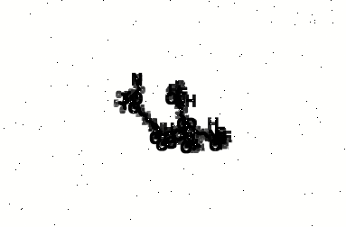 CC(C)N(C(C)C)P(OCCC#N)OCCCCCCNC(=O)c1cc2cc(P(=O)(OCCCCNC(=O)C(F)(F)F)OCCCCNC(=O)C(F)(F)F)c(OC(=O)C(C)(C)C)cc2oc1=O